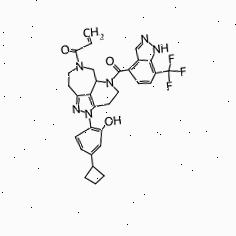 C=CC(=O)N1CCc2nn(-c3ccc(C4CCC4)cc3O)c3c2C(C1)N(C(=O)c1ccc(C(F)(F)F)c2[nH]ncc12)CC3